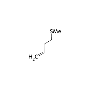 [CH2]SCCC=C